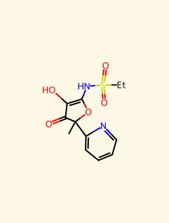 CCS(=O)(=O)NC1=C(O)C(=O)C(C)(c2ccccn2)O1